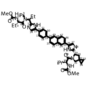 CC[C@H](NC(=O)OC)C(=O)N(C(C)C)[C@@H](CC)c1ncc(-c2ccc(-c3ccc4cc(-c5cnc([C@@H]6CC7(CC7)CN6C(=O)[C@@H](NC(=O)OC)C(C)C)[nH]5)ccc4c3)cc2)[nH]1